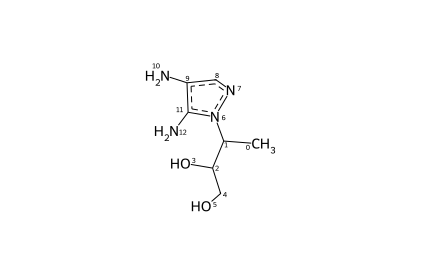 CC(C(O)CO)n1ncc(N)c1N